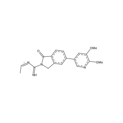 C/C=N\C(=N)N1Cc2cc(-c3cnc(OC)c(OC)c3)ccc2C1=O